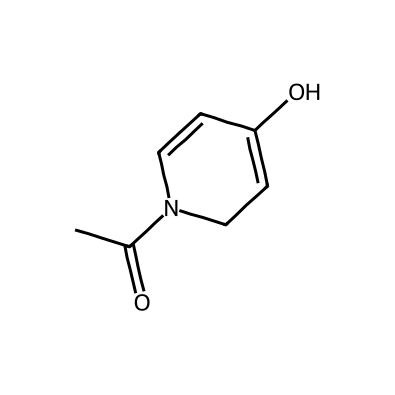 CC(=O)N1C=CC(O)=CC1